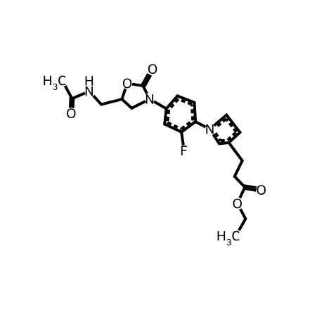 CCOC(=O)CCc1ccn(-c2ccc(N3CC(CNC(C)=O)OC3=O)cc2F)c1